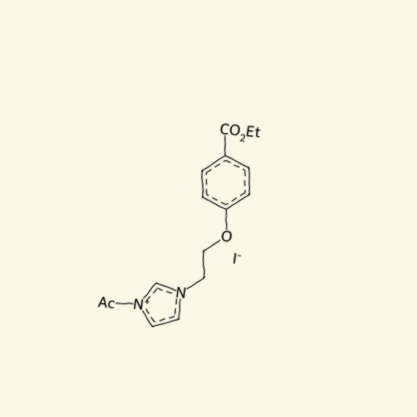 CCOC(=O)c1ccc(OCCn2cc[n+](C(C)=O)c2)cc1.[I-]